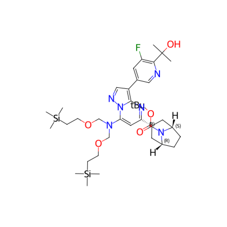 CC(C)(C)OC(=O)N1[C@@H]2CC[C@H]1C[C@@H](c1cc(N(COCC[Si](C)(C)C)COCC[Si](C)(C)C)n3ncc(-c4cnc(C(C)(C)O)c(F)c4)c3n1)C2